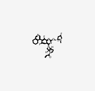 C=CC(=O)N1CC[C@@H]2[C@H]1CN2c1nc(OC[C@@H]2C[C@@H](F)CN2C)nc2c(F)c(-c3cncc4c3CCCC4)c(F)cc12